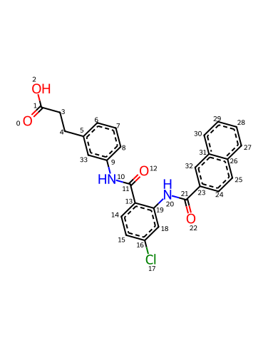 O=C(O)CCc1cccc(NC(=O)c2ccc(Cl)cc2NC(=O)c2ccc3ccccc3c2)c1